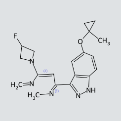 C=N/C(=C\C(=N/C)c1n[nH]c2ccc(OC3(C)CC3)cc12)N1CC(F)C1